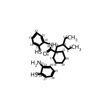 CCC(CC)CC1(C(=O)Nc2ccccc2S)CCCCC1.Nc1ccccc1S